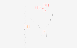 CCCCCCCCP(CCCCCCCC)(C(C)C)(C(C)C)C(C)C.CCCCCCCCPCCCCCCCC.[O]=[Ti]([OH])[OH]